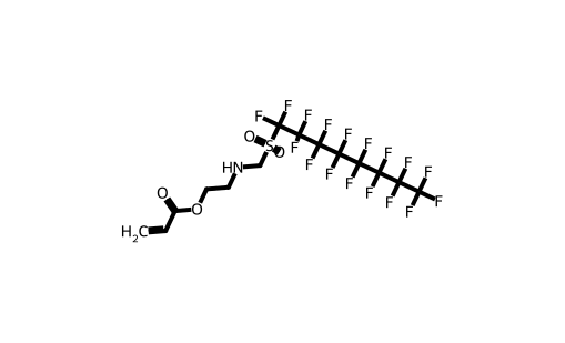 C=CC(=O)OCCNCS(=O)(=O)C(F)(F)C(F)(F)C(F)(F)C(F)(F)C(F)(F)C(F)(F)C(F)(F)C(F)(F)F